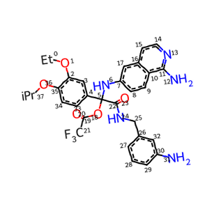 CCOc1cc(C(Nc2ccc3c(N)nccc3c2)(OC(=O)C(F)(F)F)C(=O)NCc2cccc(N)c2)ccc1OC(C)C